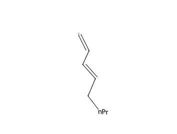 [C]=CC=CCCCC